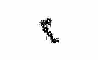 COc1ccnc(NCC2CCN(c3ccc(CC(NC(=O)C4(C)CCCCC4)C(=O)O)cc3)CC2)c1